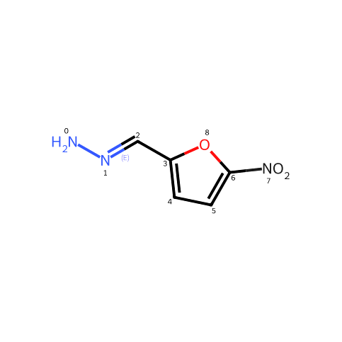 N/N=C/c1ccc([N+](=O)[O-])o1